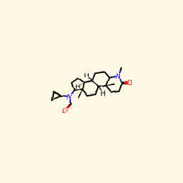 CN1C(=O)CC[C@@]2(C)C1CC[C@@H]1[C@H]2CC[C@]2(C)C(N(C=O)C3CC3)CC[C@@H]12